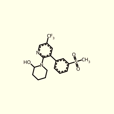 CS(=O)(=O)c1cccc(-c2cc(C(F)(F)F)cnc2N2CCCCC2O)c1